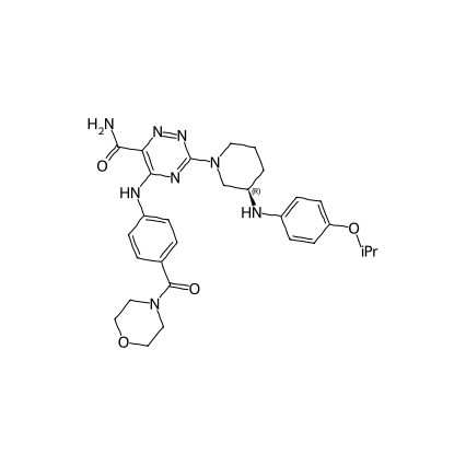 CC(C)Oc1ccc(N[C@@H]2CCCN(c3nnc(C(N)=O)c(Nc4ccc(C(=O)N5CCOCC5)cc4)n3)C2)cc1